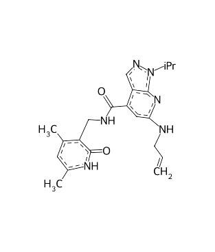 C=CCNc1cc(C(=O)NCc2c(C)cc(C)[nH]c2=O)c2cnn(C(C)C)c2n1